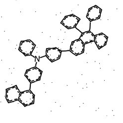 c1ccc(-c2c(-c3ccccc3)c3cc(-c4ccc(N(c5ccccc5)c5ccc(-c6cccc7ccccc67)cc5)cc4)ccc3c3ccccc23)cc1